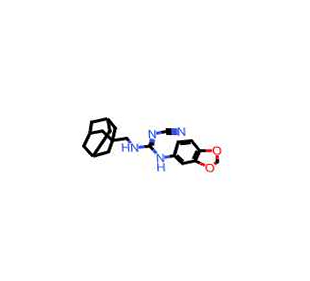 N#CN=C(NCC12CC3CC(CC(C3)C1)C2)Nc1ccc2c(c1)OCO2